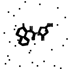 Cc1ccc2ccccc2c1NC(=O)[C@@H]1CC(O)CN1